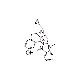 CN(C)c1ccccc1N(C)C1CCC23CCC1C21CCN(CC2CC2)C3Cc2ccc(O)cc21